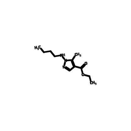 CCCCNn1ncc(C(=O)OCC)c1C